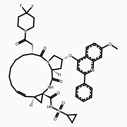 COc1ccc2c(O[C@@H]3C[C@H]4C(=O)N[C@]5(C(=O)NS(=O)(=O)C6CC6)C[C@H]5/C=C\CCCCC[C@H](CC(=O)N5CCC(F)(F)CC5)C(=O)N4C3)cc(-c3ccccc3)nc2c1